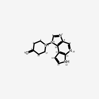 O=C1CCN(n2cnc3cnc4[nH]ccc4c32)CC1